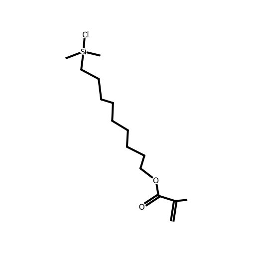 C=C(C)C(=O)OCCCCCCCCC[Si](C)(C)Cl